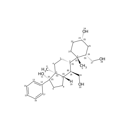 C[C@@]1([C@H]2CC[C@@]3(C)[C@@H](CC[C@@]3(O)c3ccccc3)[C@@H]2CO)CC[C@H](O)C[C@@H]1CO